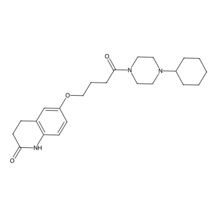 O=C1CCc2cc(OCCCC(=O)N3CCN(C4CCCCC4)CC3)ccc2N1